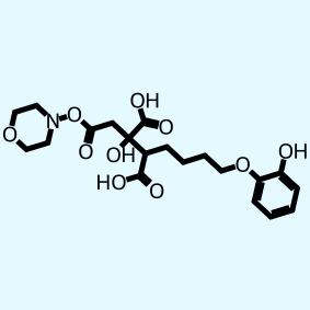 O=C(CC(O)(C(=O)O)C(CCCCOc1ccccc1O)C(=O)O)ON1CCOCC1